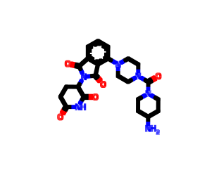 NC1CCN(C(=O)N2CCN(c3cccc4c3C(=O)N(C3CCC(=O)NC3=O)C4=O)CC2)CC1